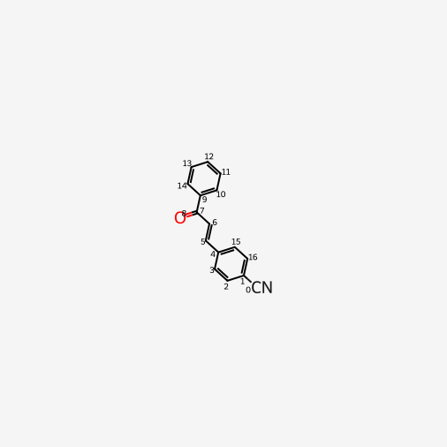 N#Cc1ccc(C=CC(=O)c2ccccc2)cc1